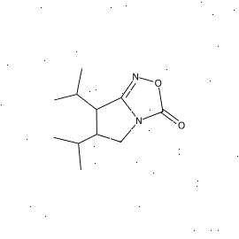 CC(C)C1Cn2c(noc2=O)C1C(C)C